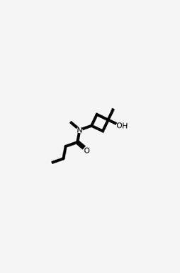 CCCC(=O)N(C)C1CC(C)(O)C1